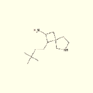 CC(C)(C)CCC1C(N)CC12CCNC2